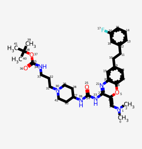 CN(C)C=C1Oc2ccc(CCc3cccc(F)c3)cc2N=C1NC(=O)NC1CCN(CCCNC(=O)OC(C)(C)C)CC1